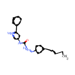 CCCCc1ccc(NC(=O)Nc2c[nH]c(-c3ccccc3)c2)cc1